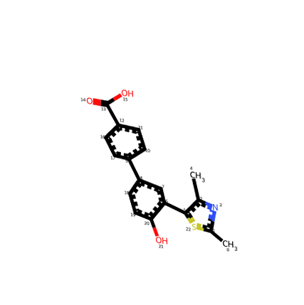 Cc1nc(C)c(-c2cc(-c3ccc(C(=O)O)cc3)ccc2O)s1